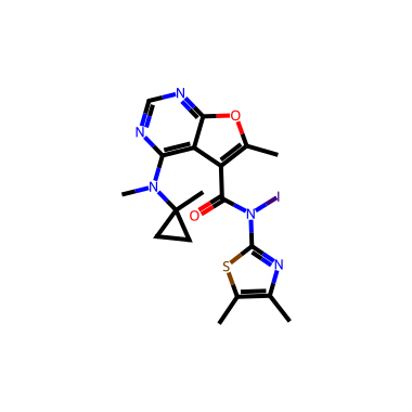 Cc1nc(N(I)C(=O)c2c(C)oc3ncnc(N(C)C4(C)CC4)c23)sc1C